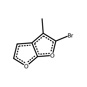 Cc1c(Br)oc2occc12